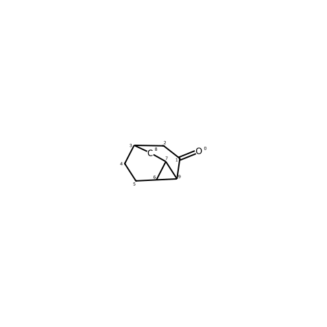 O=C1CC2CCC3C(C2)C13